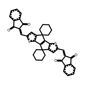 O=C1C(=Cc2cc3c(s2)C2=C(c4sc(C=C5C(=O)c6ccccc6C5=O)cc4C24CCCCC4)C32CCCCC2)C(=O)c2ccccc21